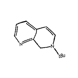 CC(C)(C)N1C=Cc2cccnc2C1